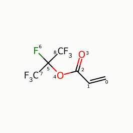 C=CC(=O)OC(F)(C(F)(F)F)C(F)(F)F